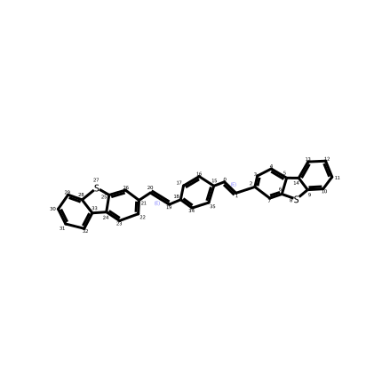 C(=C\c1ccc2c(c1)sc1ccccc12)/c1ccc(/C=C/c2ccc3c(c2)sc2ccccc23)cc1